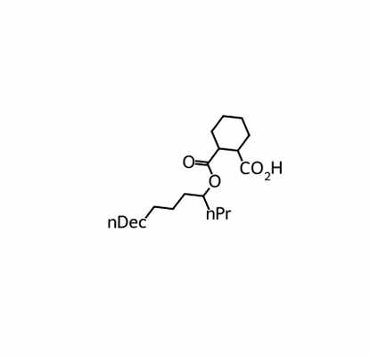 CCCCCCCCCCCCCC(CCC)OC(=O)C1CCCCC1C(=O)O